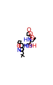 C#CC[C@H](NC(=O)[C@H]1CCC(=O)O1)[C@H](O)CN[C@H]1CC2(CCC2)Oc2ncc(CC(C)(C)C)cc21